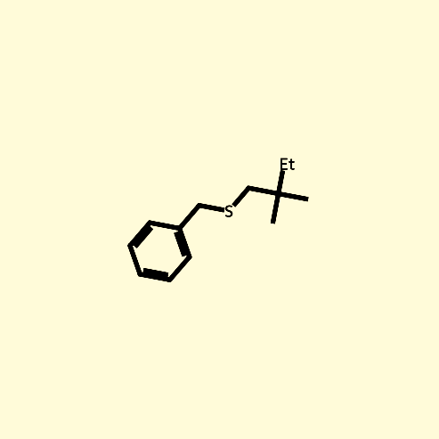 CCC(C)(C)CSCc1ccccc1